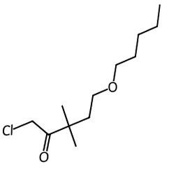 CCCCCOCCC(C)(C)C(=O)CCl